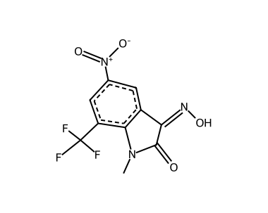 CN1C(=O)C(=NO)c2cc([N+](=O)[O-])cc(C(F)(F)F)c21